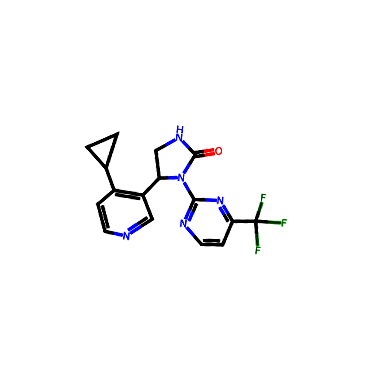 O=C1NCC(c2cnccc2C2CC2)N1c1nccc(C(F)(F)F)n1